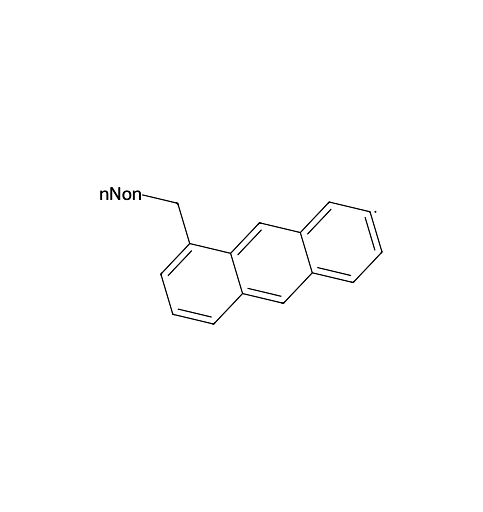 CCCCCCCCCCc1cccc2cc3cc[c]cc3cc12